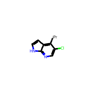 CC(C)c1c(Cl)cnc2[nH]ccc12